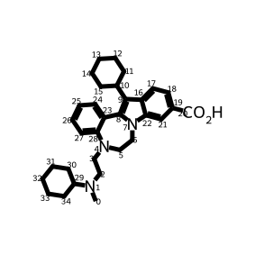 CN(CCN1CCn2c(c(C3CCCCC3)c3ccc(C(=O)O)cc32)-c2ccccc21)C1CCCCC1